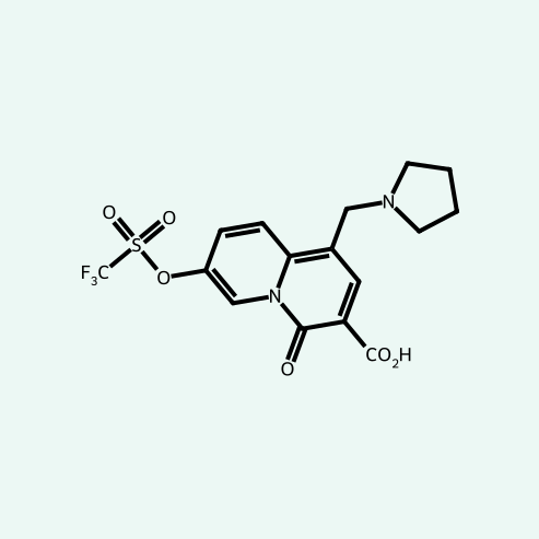 O=C(O)c1cc(CN2CCCC2)c2ccc(OS(=O)(=O)C(F)(F)F)cn2c1=O